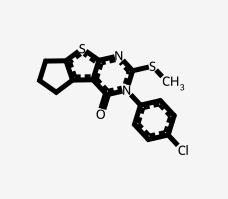 CSc1nc2sc3c(c2c(=O)n1-c1ccc(Cl)cc1)CCC3